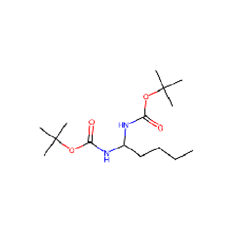 CCCCC(NC(=O)OC(C)(C)C)NC(=O)OC(C)(C)C